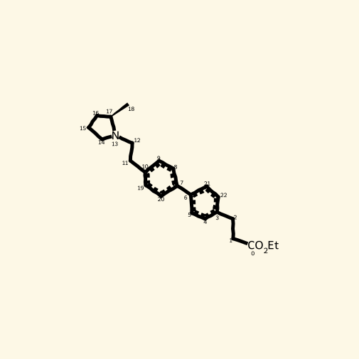 CCOC(=O)CCc1ccc(-c2ccc(CCN3CCC[C@H]3C)cc2)cc1